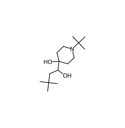 CC(C)(C)CC(O)C1(O)CCN(C(C)(C)C)CC1